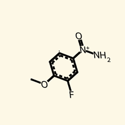 COc1c[c]c([N+](N)=O)cc1F